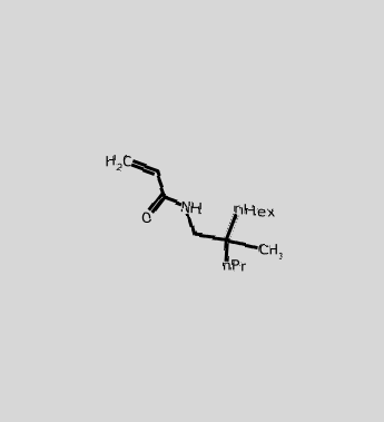 C=CC(=O)NCC(C)(CCC)CCCCCC